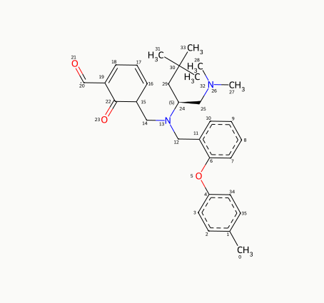 Cc1ccc(Oc2ccccc2CN(CC2C=CC=C([C]=O)C2=O)[C@H](CN(C)C)CC(C)(C)C)cc1